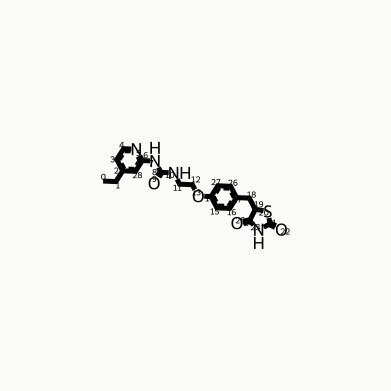 CCc1ccnc(NC(=O)NCCOc2ccc(CC3SC(=O)NC3=O)cc2)c1